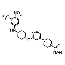 CNC(=O)N1CCN(c2ccnc(O[C@H]3CC[C@H](Nc4ccc([N+](=O)[O-])c(C(F)(F)F)c4)CC3)c2)CC1